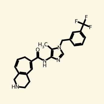 Cc1c(NC(=O)C2=CC3=C(C=CC2)CNCC3)ncn1Cc1cccc(C(F)(F)F)c1